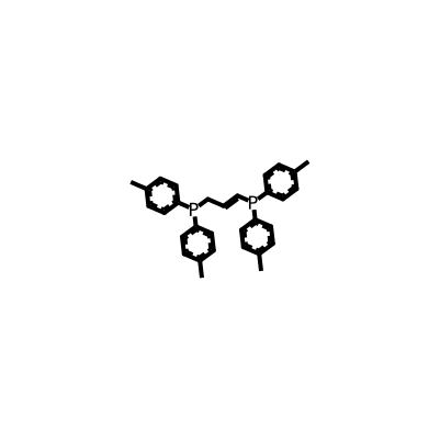 Cc1ccc(P(C=CCP(c2ccc(C)cc2)c2ccc(C)cc2)c2ccc(C)cc2)cc1